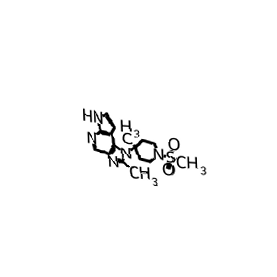 Cc1nc2cnc3[nH]ccc3c2n1C1(C)CCN(S(C)(=O)=O)CC1